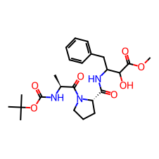 COC(=O)C(O)C(Cc1ccccc1)NC(=O)[C@@H]1CCCN1C(=O)[C@H](C)NC(=O)OC(C)(C)C